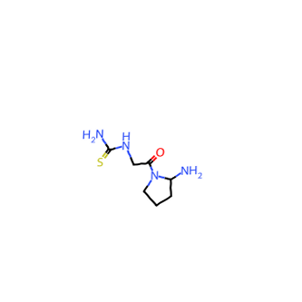 NC(=S)NCC(=O)N1CCCC1N